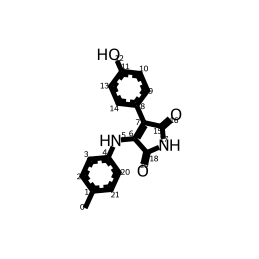 Cc1ccc(NC2=C(c3ccc(O)cc3)C(=O)NC2=O)cc1